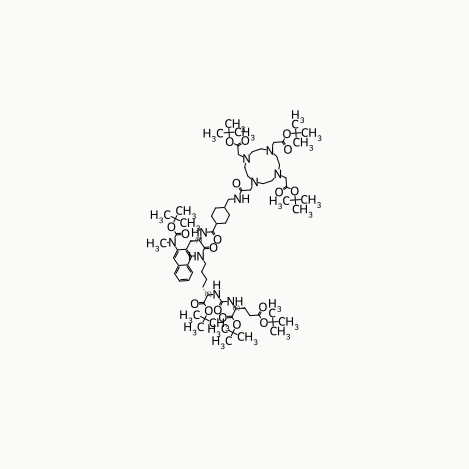 CN(C(=O)OC(C)(C)C)c1cc2ccccc2cc1C[C@@H](NC(=O)C1CCC(CNC(=O)CN2CCN(CC(=O)OC(C)(C)C)CCN(CC(=O)OC(C)(C)C)CCN(CC(=O)OC(C)(C)C)CC2)CC1)C(=O)NCCCC[C@H](NC(=O)N[C@@H](CCC(=O)OC(C)(C)C)C(=O)OC(C)(C)C)C(=O)OC(C)(C)C